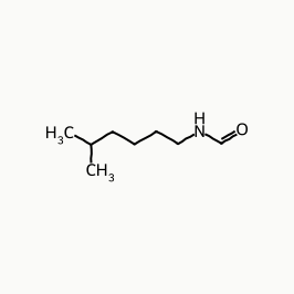 CC(C)CCCCNC=O